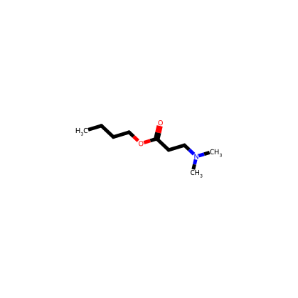 CCCCOC(=O)CCN(C)C